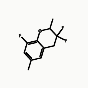 Cc1cc(F)c2c(c1)CC(F)(F)C(C)O2